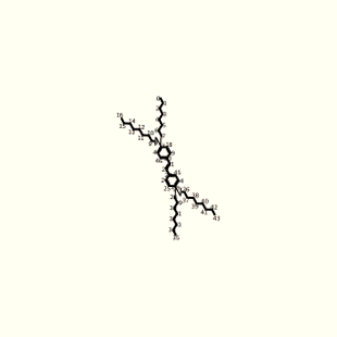 CCCCCCCCN(CCCCCCCC)c1ccc(C=Cc2ccc(N(CCCCCCCC)CCCCCCCC)cc2)cc1